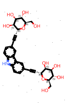 OC[C@H]1O[C@H](C#Cc2ccc3[nH]c4ccc(C#C[C@H]5O[C@H](CO)[C@@H](O)[C@H](O)[C@@H]5O)cc4c3c2)[C@@H](O)[C@@H](O)[C@@H]1O